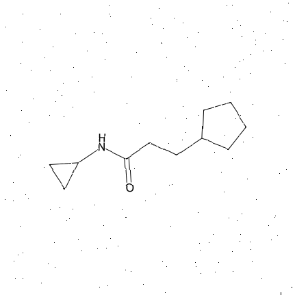 O=C(CCC1CCCC1)NC1CC1